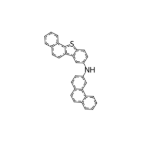 c1ccc2c(c1)ccc1ccc(Nc3ccc4sc5c6ccccc6ccc5c4c3)cc12